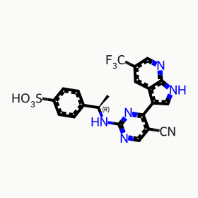 C[C@@H](Nc1ncc(C#N)c(-c2c[nH]c3ncc(C(F)(F)F)cc23)n1)c1ccc(S(=O)(=O)O)cc1